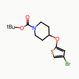 CC(C)(C)OC(=O)N1CCC(Oc2cc(Br)cs2)CC1